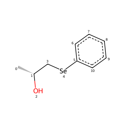 C[C@@H](O)C[Se]c1ccccc1